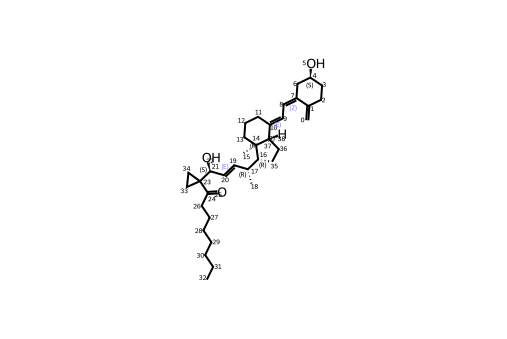 C=C1CC[C@H](O)C/C1=C/C=C1\CCC[C@]2(C)[C@@H]([C@H](C)/C=C/[C@H](O)C3(C(=O)CCCCCCC)CC3)CC[C@@H]12